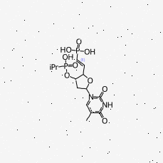 Cc1cn(C2CC(OP(=O)(O)C(C)C)C(/C=C/P(=O)(O)O)O2)c(=O)[nH]c1=O